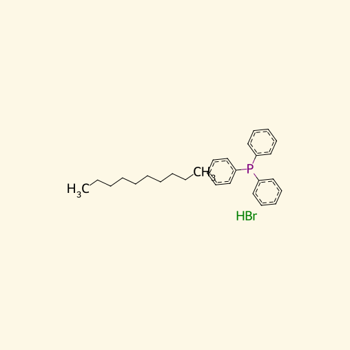 Br.CCCCCCCCCC.c1ccc(P(c2ccccc2)c2ccccc2)cc1